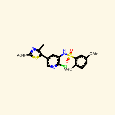 COc1ccc(OC)c(S(=O)(=O)Nc2cc(-c3sc(NC(C)=O)nc3C)cnc2Cl)c1